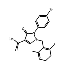 O=C(O)c1cn(CC2=C(F)CCC=C2F)n(-c2ccc(Br)cc2)c1=O